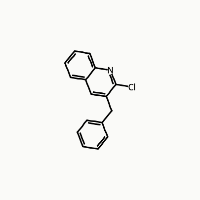 Clc1nc2ccccc2cc1Cc1ccccc1